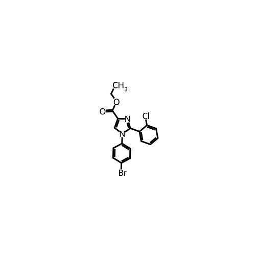 CCOC(=O)c1cn(-c2ccc(Br)cc2)c(-c2ccccc2Cl)n1